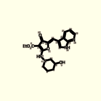 CCOC(=O)C1=C(NN2CCCC(O)C2)OC(=Cc2c[nH]c3ncccc23)C1=O